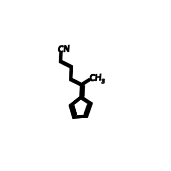 CC(CCCC#N)=C1C=CC=C1